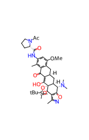 COc1cc(NC(=O)[C@@H]2CCCN2C(C)=O)c(C)c2c1C[C@H]1C[C@H]3[C@H](N(C)C)c4onc(C)c4C(=O)[C@@]3(O[Si](C)(C)C(C)(C)C)C(O)=C1C2=O